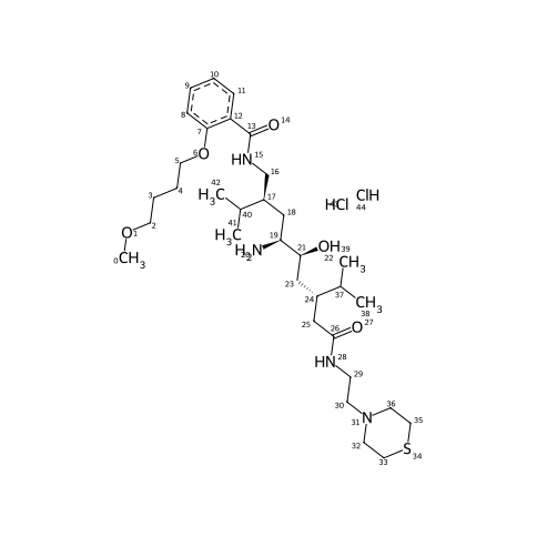 COCCCCOc1ccccc1C(=O)NC[C@@H](C[C@H](N)[C@@H](O)C[C@@H](CC(=O)NCCN1CCSCC1)C(C)C)C(C)C.Cl.Cl